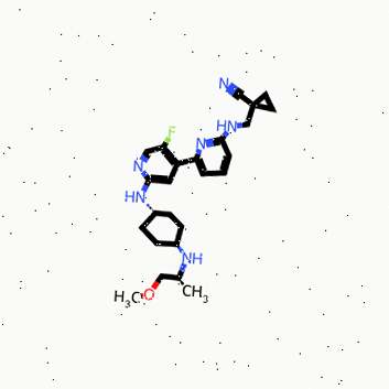 COC[C@@H](C)N[C@H]1CC[C@H](Nc2cc(-c3cccc(NCC4(C#N)CC4)n3)c(F)cn2)CC1